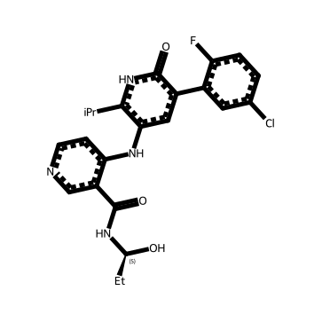 CC[C@H](O)NC(=O)c1cnccc1Nc1cc(-c2cc(Cl)ccc2F)c(=O)[nH]c1C(C)C